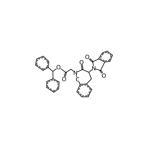 O=C(CN1Cc2ccccc2CC(N2C(=O)c3ccccc3C2=O)C1=O)OC(c1ccccc1)c1ccccc1